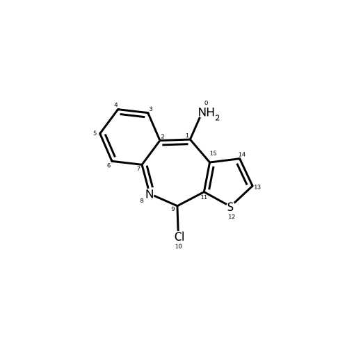 NC1=c2ccccc2=NC(Cl)c2sccc21